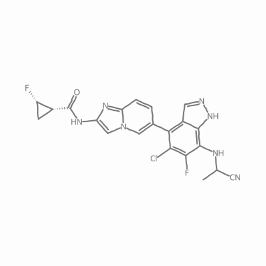 CC(C#N)Nc1c(F)c(Cl)c(-c2ccc3nc(NC(=O)[C@@H]4C[C@@H]4F)cn3c2)c2cn[nH]c12